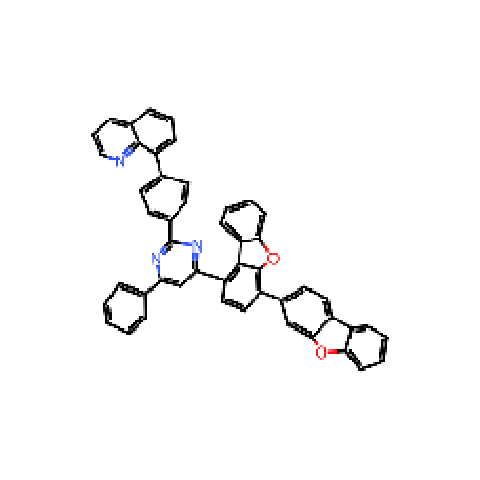 c1ccc(-c2cc(-c3ccc(-c4ccc5c(c4)oc4ccccc45)c4oc5ccccc5c34)nc(-c3ccc(-c4cccc5cccnc45)cc3)n2)cc1